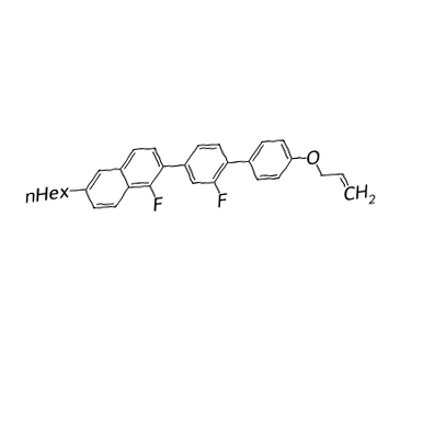 C=CCOc1ccc(-c2ccc(-c3ccc4cc(CCCCCC)ccc4c3F)cc2F)cc1